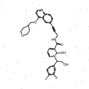 O=C(NCC#Cc1ccc2nccc(OCC3CCOCC3)c2c1)C1=CC=CN(C(CO)c2ccc(F)c(F)c2)C1O